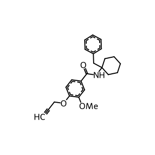 C#CCOc1ccc(C(=O)NC2(Cc3ccccc3)CCCCC2)cc1OC